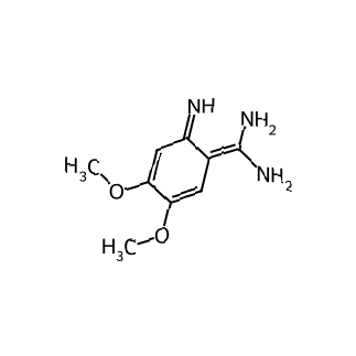 COC1=CC(=N)C(=C(N)N)C=C1OC